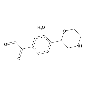 O.O=CC(=O)c1ccc(C2CNCCO2)cc1